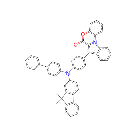 CC1(C)c2ccccc2-c2ccc(N(c3ccc(-c4ccccc4)cc3)c3ccc(-c4c5ccccc5n5c4c(=O)oc4ccccc45)cc3)cc21